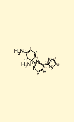 NC1=CC=CC(N)(c2nccc(-c3nccs3)n2)C1